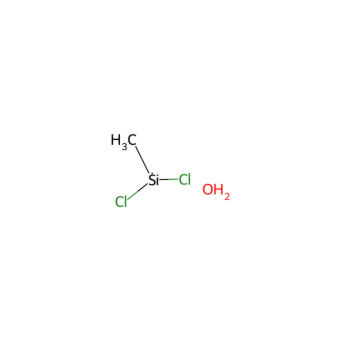 C[Si](Cl)Cl.O